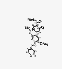 CCC1Cc2cc(OCc3ccccc3)c(OC)cc2-c2cc(=O)c(C(=O)NC)cn21